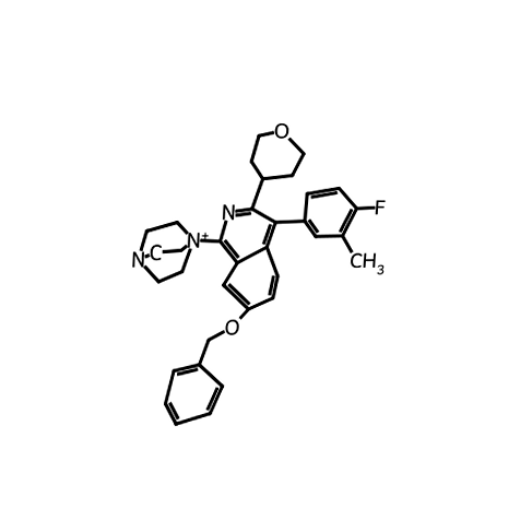 Cc1cc(-c2c(C3CCOCC3)nc([N+]34CCN(CC3)CC4)c3cc(OCc4ccccc4)ccc23)ccc1F